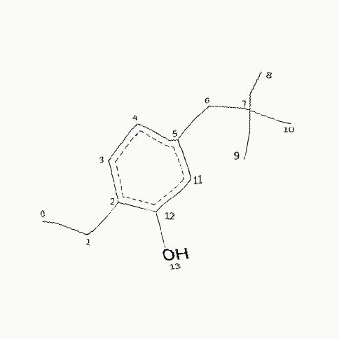 CCc1ccc(CC(C)(C)C)cc1O